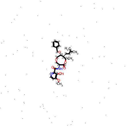 COc1ccnc(C(=O)N[C@H]2COC[C@H](OCc3ccccc3)[C@@H](CCC(C)C)[C@H](C)OC2=O)c1O